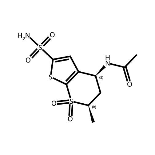 CC(=O)N[C@H]1C[C@@H](C)S(=O)(=O)c2sc(S(N)(=O)=O)cc21